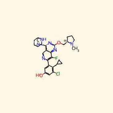 CN1CCC[C@@H]1COc1nc(N2CC3CCC2CN3)c2cnc(-c3cc(O)cc(Cl)c3C3CC3)c(F)c2n1